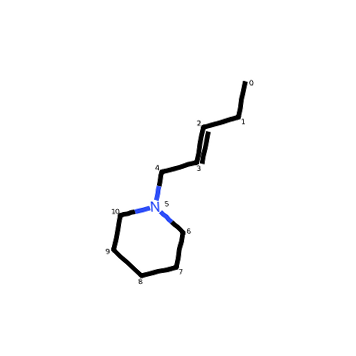 CCC=CCN1CCCCC1